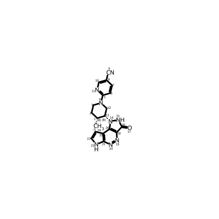 C[C@@H]1CCN(c2ccc(C#N)cn2)C[C@@H]1n1[nH]c(=O)c2nnc3[nH]ccc3c21